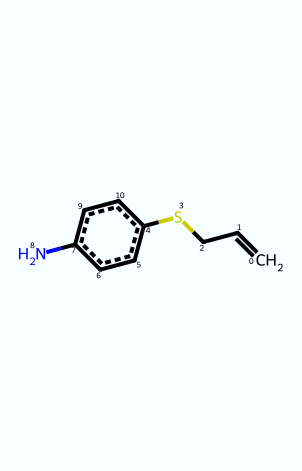 C=CCSc1ccc(N)cc1